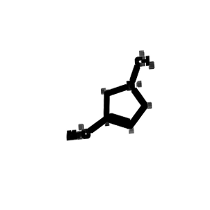 COC1=CCN(C)[C]1